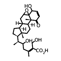 CC(CC(O)[C@@H](C)[C@H]1CC[C@H]2[C@@H]3CC4OC45C(O)C=CC(=O)[C@]5(C)[C@H]3CC[C@]12C)=C(CO)C(=O)O